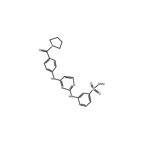 CNS(=O)(=O)c1cccc(Nc2nccc(Nc3ccc(C(=O)N4CCCC4)cc3)n2)c1